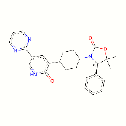 CC1(C)OC(=O)N(C2CCC(c3cc(-c4ncccn4)c[nH]c3=O)CC2)[C@@H]1c1ccccc1